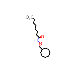 O=C(O)CCCCCCC(=O)NOCC1CCCCCCC1